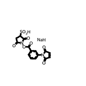 O=C(ON1C(=O)CC(S(=O)(=O)O)C1=O)c1cccc(N2C(=O)C=CC2=O)c1.[NaH]